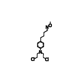 CON=CCCCc1ccc(N(CCCl)CCCl)cc1